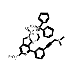 CCCC[S@+]([O-])N1Cc2cc(C(=O)OCC)nc(-c3cccc(C#CCN(C)C)c3)c2[C@H]1CCO[Si](c1ccccc1)(c1ccccc1)C(C)(C)C